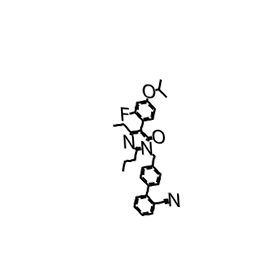 CCCc1nc(CC)c(-c2ccc(OC(C)C)cc2F)c(=O)n1Cc1ccc(-c2ccccc2C#N)cc1